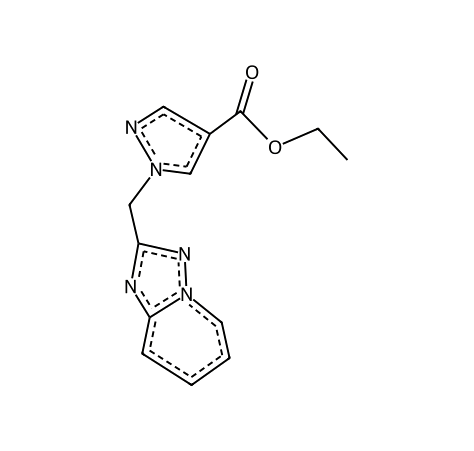 CCOC(=O)c1cnn(Cc2nc3ccccn3n2)c1